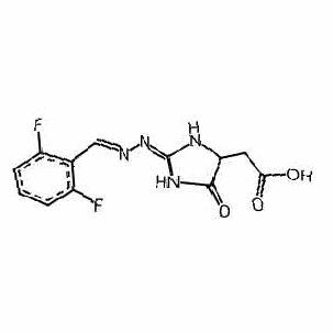 O=C(O)CC1NC(=NN=Cc2c(F)cccc2F)NC1=O